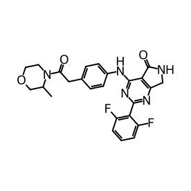 CC1COCCN1C(=O)Cc1ccc(Nc2nc(-c3c(F)cccc3F)nc3c2C(=O)NC3)cc1